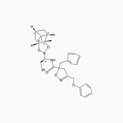 CC(C)C[C@H](NC(=O)C1(Cc2ccccc2)CC(COc2ccccc2)=NO1)B1O[C@@H]2C[C@@H]3C[C@@H](C3(C)C)[C@]2(C)O1